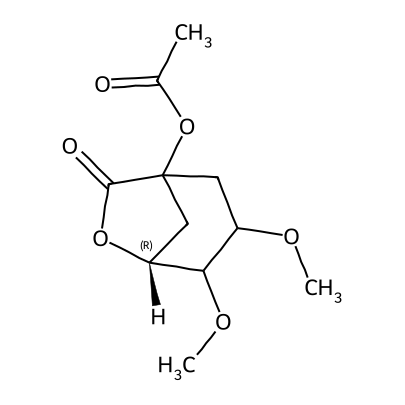 COC1CC2(OC(C)=O)C[C@@H](OC2=O)C1OC